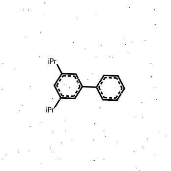 CC(C)c1cc(-c2ccccc2)cc(C(C)C)c1